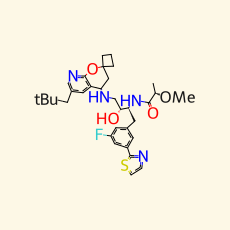 CO[C@H](C)C(=O)N[C@@H](Cc1cc(F)cc(-c2nccs2)c1)[C@H](O)CN[C@H]1CC2(CCC2)Oc2ncc(CC(C)(C)C)cc21